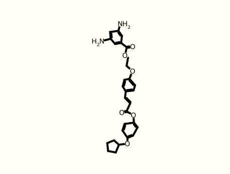 Nc1cc(N)cc(C(=O)OCCOc2ccc(/C=C/C(=O)Oc3ccc(OC4CCCC4)cc3)cc2)c1